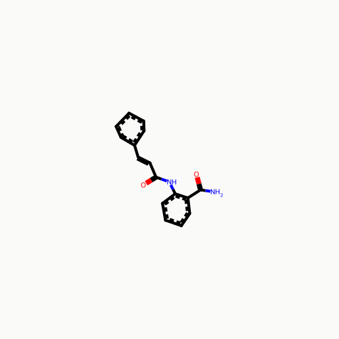 NC(=O)c1ccccc1NC(=O)C=Cc1ccccc1